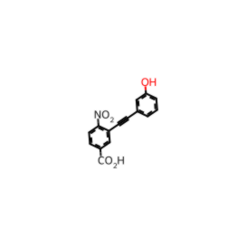 O=C(O)c1ccc([N+](=O)[O-])c(C#Cc2cccc(O)c2)c1